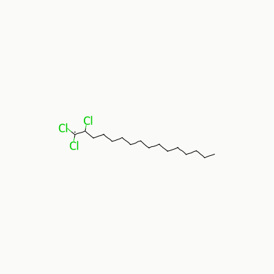 CCCCCCCCCCCCCCC(Cl)[C](Cl)Cl